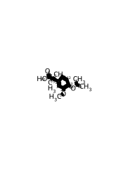 COc1cc(C(C)(C)C(=O)O)ccc1OC(C)C